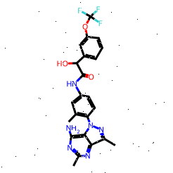 Cc1nc(N)c2c(n1)c(C)nn2-c1ccc(NC(=O)C(O)c2cccc(OC(F)(F)F)c2)cc1C